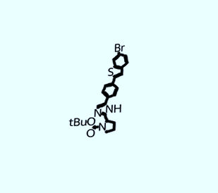 CC(C)(C)OC(=O)N1CCCC1c1ncc(-c2ccc(-c3cc4ccc(Br)cc4s3)cc2)[nH]1